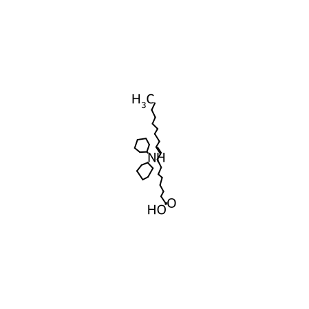 C1CCC(NC2CCCCC2)CC1.CCCCCCCCC=CCCCCCCCC(=O)O